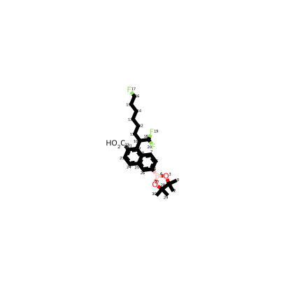 CC1(C)OB(c2ccc3c(C(CCCCCCF)C(F)F)c(C(=O)O)ccc3c2)OC1(C)C